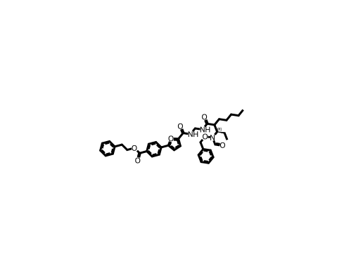 CCCCCC(C(=O)NCNC(=O)c1ccc(-c2ccc(C(=O)OCCc3ccccc3)cc2)o1)[C@@H](CC)N(C=O)OCc1ccccc1